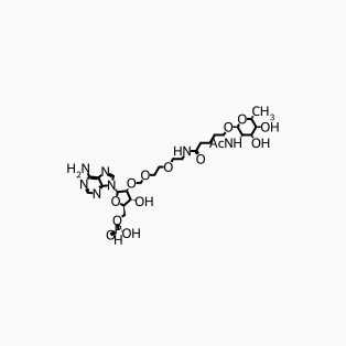 CC(=O)N[C@@H]1[C@@H](OCCCCC(=O)NCCOCCOCO[C@@H]2[C@H](O)[C@@H](CO[PH](=O)O)O[C@H]2n2cnc3c(N)ncnc32)O[C@@H](C)[C@@H](O)[C@H]1O